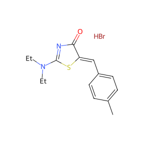 Br.CCN(CC)C1=NC(=O)/C(=C/c2ccc(C)cc2)S1